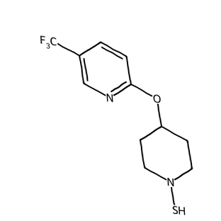 FC(F)(F)c1ccc(OC2CCN(S)CC2)nc1